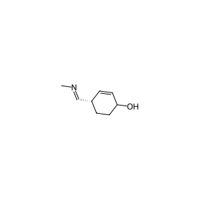 C/N=C/[C@@H]1C=CC(O)CC1